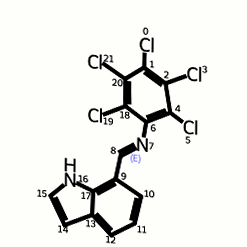 Clc1c(Cl)c(Cl)c(/N=C/c2cccc3cc[nH]c23)c(Cl)c1Cl